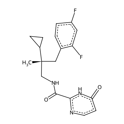 C[C@](CNC(=O)c1nccc(=O)[nH]1)(Cc1ccc(F)cc1F)C1CC1